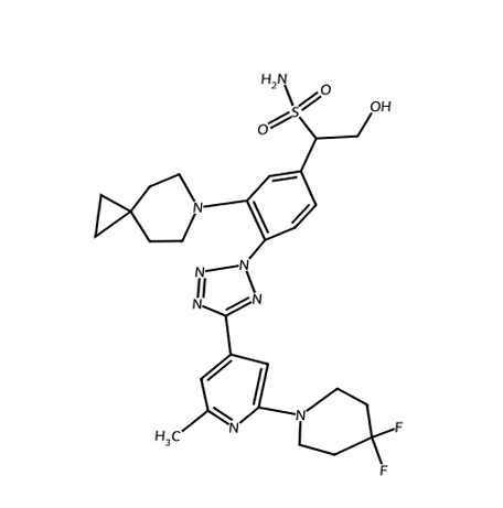 Cc1cc(-c2nnn(-c3ccc(C(CO)S(N)(=O)=O)cc3N3CCC4(CC3)CC4)n2)cc(N2CCC(F)(F)CC2)n1